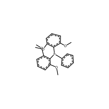 COc1cccc(OC)c1P(c1ccccc1)c1c(OC)cccc1OC